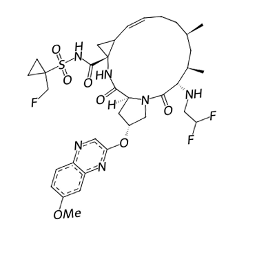 COc1ccc2ncc(O[C@@H]3C[C@H]4C(=O)N[C@]5(C(=O)NS(=O)(=O)C6(CF)CC6)CC5/C=C\CC[C@@H](C)C[C@@H](C)[C@H](NCC(F)F)C(=O)N4C3)nc2c1